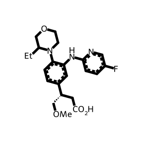 CCC1COCCN1c1ccc([C@@H](COC)CC(=O)O)cc1Nc1ccc(F)cn1